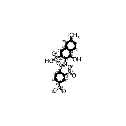 Cc1ccc2c(O)c(/N=N/c3ccc([N+](=O)[O-])cc3[N+](=O)[O-])c(S(=O)(=O)O)cc2c1